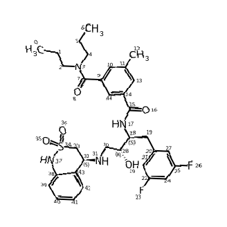 CCCN(CCC)C(=O)c1cc(C)cc(C(=O)N[C@@H](Cc2cc(F)cc(F)c2)[C@H](O)CN[C@@H]2CS(=O)(=O)Nc3ccccc32)c1